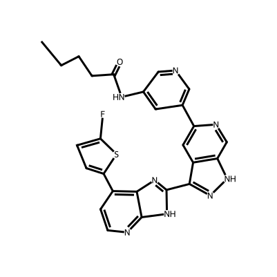 CCCCC(=O)Nc1cncc(-c2cc3c(-c4nc5c(-c6ccc(F)s6)ccnc5[nH]4)n[nH]c3cn2)c1